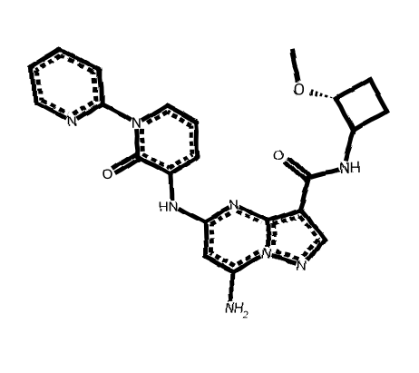 CO[C@@H]1CCC1NC(=O)c1cnn2c(N)cc(Nc3cccn(-c4ccccn4)c3=O)nc12